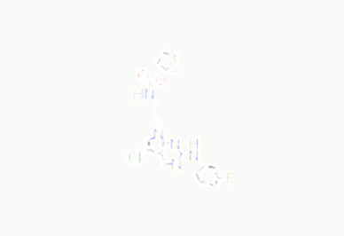 O=C(NCCCn1cc(Cl)c2cnc(Nc3cccc(F)c3)nc21)Oc1cccs1